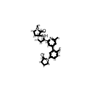 Cc1cc(-c2cc(N3CCCC3=O)ccc2F)cc([C@H]2CC[C@@]3(CCN(C)C3=O)N2)n1